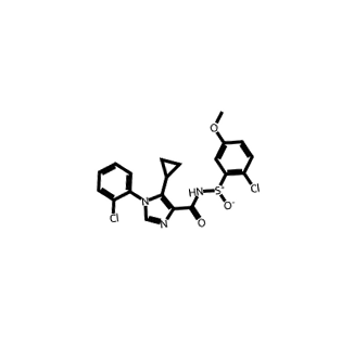 COc1ccc(Cl)c([S+]([O-])NC(=O)c2ncn(-c3ccccc3Cl)c2C2CC2)c1